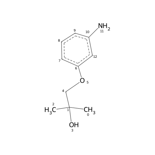 CC(C)(O)COc1cccc(N)c1